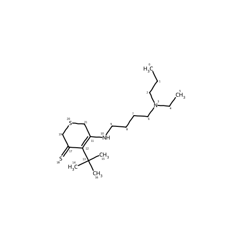 CCCN(CC)CCCCNC1=C(C(C)(C)C)C(=S)CSC1